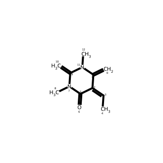 C=C1/C(=C/C)C(=O)N(C)C(=C)N1C